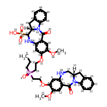 CCCP(=O)(CCOc1cc2c(cc1OC)C(=O)N1c3ccccc3C[C@H]1CN2)CCOc1cc2c(cc1OC)C(=O)N1c3ccccc3C[C@H]1C(S(=O)(=O)O)N2